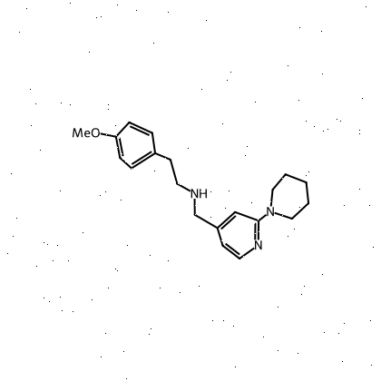 COc1ccc(CCNCc2ccnc(N3CCCCC3)c2)cc1